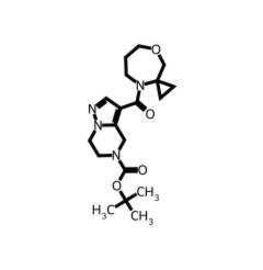 CC(C)(C)OC(=O)N1CCn2ncc(C(=O)N3CCCOCC34CC4)c2C1